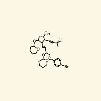 CC(=O)C#CC1C(O)CC(OC2CCCCO2)C1C=CC(COc1ccc(Br)cc1)OC1CCCCO1